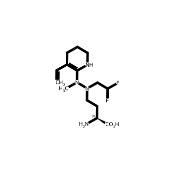 C=CC1=C(N(C)N(CC[C@H](N)C(=O)O)CC(F)F)NCCC1